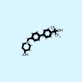 OC1CCN(Cc2ccc(-c3ccc(C(O)(C(F)(F)F)C(F)(F)F)cc3)cc2)CC1